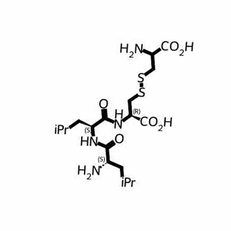 CC(C)C[C@H](NC(=O)[C@@H](N)CC(C)C)C(=O)N[C@@H](CSSCC(N)C(=O)O)C(=O)O